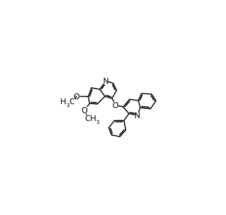 COc1cc2nccc(Oc3cc4ccccc4nc3-c3ccccc3)c2cc1OC